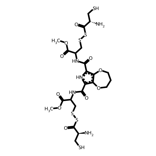 COC(=O)C(CSSC(=O)[C@@H](N)CS)NC(=O)c1[nH]c(C(=O)NC(CSSC(=O)[C@@H](N)CS)C(=O)OC)c2c1OCCCO2